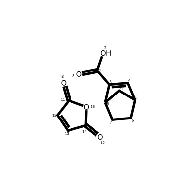 O=C(O)C1=CC2CCC1C2.O=C1C=CC(=O)O1